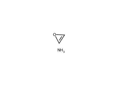 C1=CO1.N